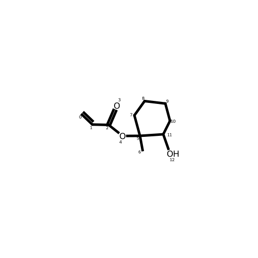 C=CC(=O)OC1(C)CCCCC1O